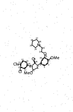 COc1ccc(C2CC(OC)N(c3ccc(Cl)c(Cl)c3)C2=O)cc1OCCN1CCCCC1